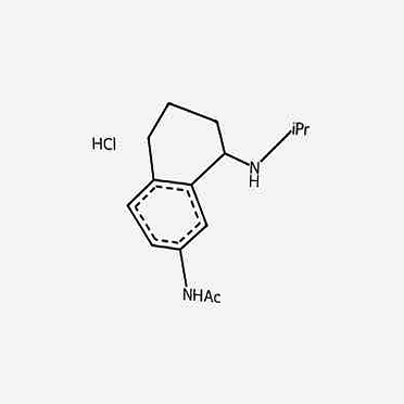 CC(=O)Nc1ccc2c(c1)C(NC(C)C)CCC2.Cl